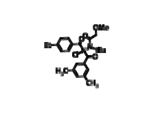 CCc1ccc(C(=O)[N+](Cl)(C(=O)c2cc(C)cc(C)c2)N(C(=O)COC)C(C)(C)C)cc1